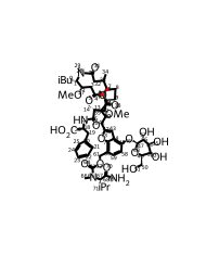 CCC(C)[C@@H]([C@@H](CC(=O)N1CCC[C@H]1[C@H](OC)[C@@H](C)C(=O)NC(Cc1ccccc1)C(=O)O)OC)N(C)C(=O)CC(C)COC(=O)CCCc1cc2c(O[C@@H]3O[C@H](CO)[C@H](O)[C@H](O)[C@H]3O)ccc(COC(=O)N(C)[C@H](C(N)=O)C(C)C)c2o1